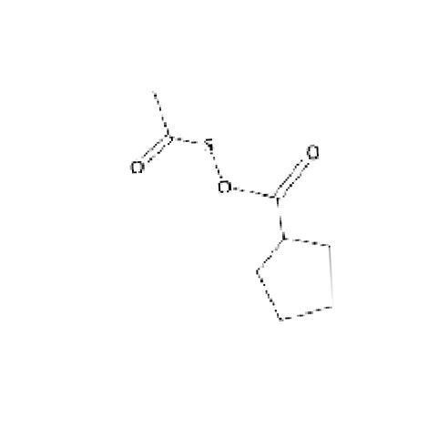 CC(=O)SOC(=O)C1CCCC1